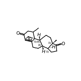 CC1CC(=O)C=C2CC[C@@H]3[C@@H](CC[C@]4(C)C(=O)CC[C@@H]34)[C@]21CO